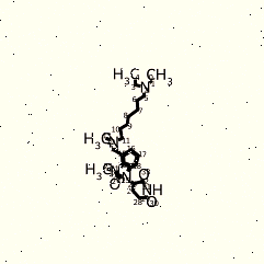 CCN(CC)CCCCCCCN(C)Cc1cccc2c1n(C)c(=O)n2C1CCC(=O)NC1=O